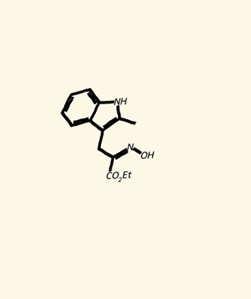 CCOC(=O)C(Cc1c(C)[nH]c2ccccc12)=NO